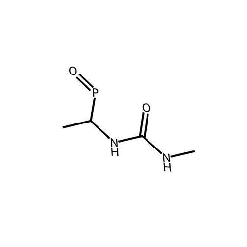 CNC(=O)NC(C)P=O